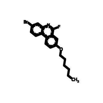 CCCCCCOc1ccc2c(c1)c(F)nc1cc(Br)ccc12